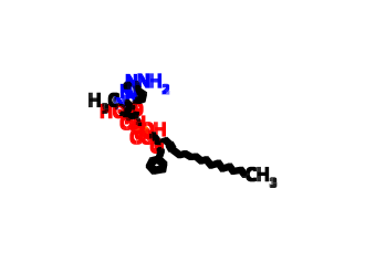 CCCCCCCCCCCCCCC#CC[C@H](COP(=O)(O)OC[C@H]1O[C@@](C=NC)(c2ccc3c(N)ncnn23)[C@H](O)[C@@H]1O)OCc1ccccc1